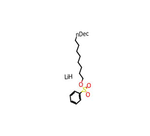 CCCCCCCCCCCCCCCCCCOS(=O)(=O)c1ccccc1.[LiH]